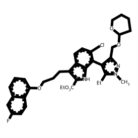 CCOC(=O)c1[nH]c2c(-c3c(COC4CCCCO4)nn(C)c3CC)c(Cl)ccc2c1CCCOc1cccc2cc(F)ccc12